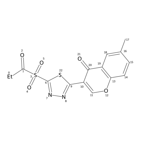 CCC(=O)S(=O)(=O)c1nnc(-c2coc3ccc(C)cc3c2=O)s1